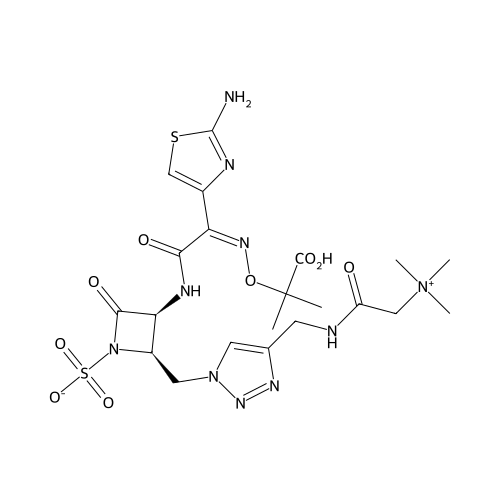 CC(C)(ON=C(C(=O)N[C@@H]1C(=O)N(S(=O)(=O)[O-])[C@@H]1Cn1cc(CNC(=O)C[N+](C)(C)C)nn1)c1csc(N)n1)C(=O)O